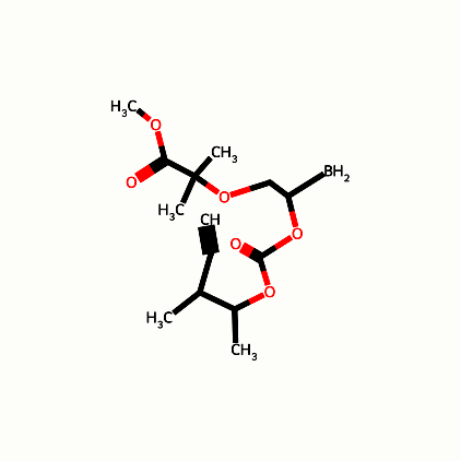 BC(COC(C)(C)C(=O)OC)OC(=O)OC(C)C(C)C#C